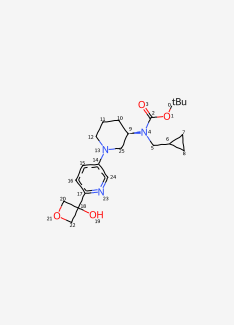 CC(C)(C)OC(=O)N(CC1CC1)[C@@H]1CCCN(c2ccc(C3(O)COC3)nc2)C1